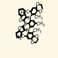 Cc1cc2c3c(c1)N(c1c(C)cc4c(c1C)OCCO4)c1c(oc4ccccc14)B3c1oc3ccccc3c1N2c1c(C)cc2c(c1C)OCCO2